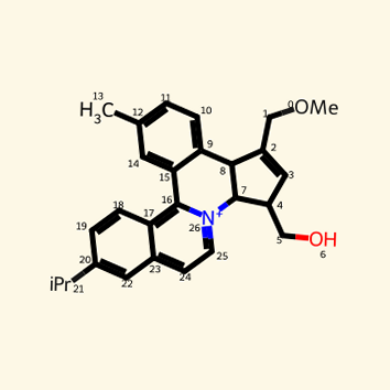 COCC1=CC(CO)C2C1c1ccc(C)cc1-c1c3ccc(C(C)C)cc3cc[n+]12